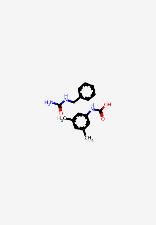 Cc1cc(C)cc(NC(=O)O)c1.NC(=O)NCc1ccccc1